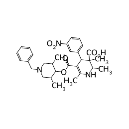 CC1=C(C(=O)OC2C(C)CN(Cc3ccccc3)CC2C)C(c2cccc([N+](=O)[O-])c2)C(C)(C(=O)O)C(C)N1